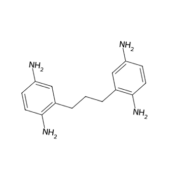 Nc1ccc(N)c(CCCc2cc(N)ccc2N)c1